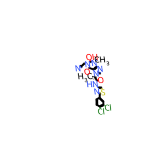 C[C@@H](C(=O)Nc1csc(-c2ccc(Cl)c(Cl)c2)n1)n1cnc2c1C(=O)N(CC#N)C(O)N2C